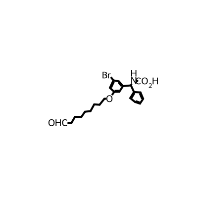 O=CCCCCCCCCOc1cc(Br)cc(C(NC(=O)O)c2ccccc2)c1